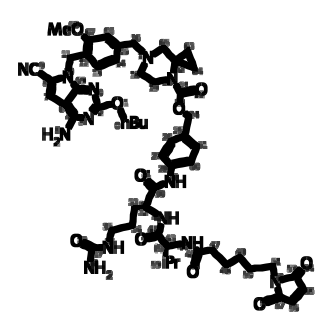 CCCCOc1nc(N)c2cc(C#N)n(Cc3ccc(CN4CCN(C(=O)OCc5ccc(NC(=O)[C@H](CCCNC(N)=O)NC(=O)[C@@H](NC(=O)CCCCCN6C(=O)C=CC6=O)C(C)C)cc5)C5(CC5)C4)cc3OC)c2n1